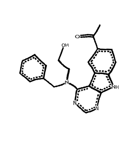 CC(=O)c1ccc2[nH]c3ncnc(N(CCO)Cc4ccccc4)c3c2c1